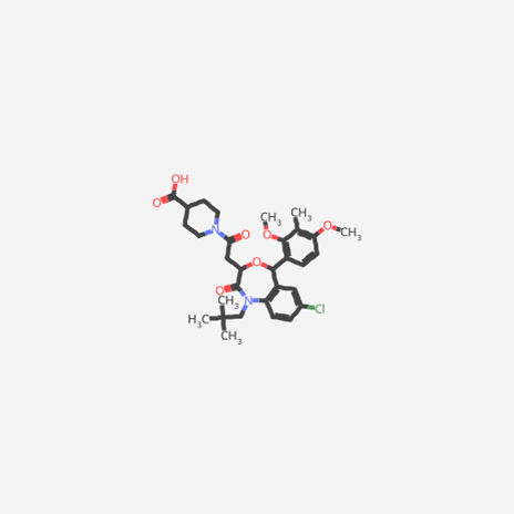 COc1ccc(C2OC(CC(=O)N3CCC(C(=O)O)CC3)C(=O)N(CC(C)(C)C)c3ccc(Cl)cc32)c(OC)c1C